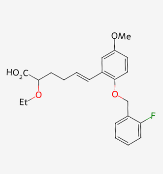 CCOC(CCC=Cc1cc(OC)ccc1OCc1ccccc1F)C(=O)O